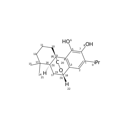 CC(C)c1cc2c(c(O)c1O)[C@@]13CCCC(C)(C)[C@@H]1C[C@@H]2OC3